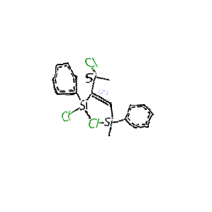 C[Si](C)(Cl)/C(=C/[Si](C)(Cl)c1ccccc1)[Si](C)(Cl)c1ccccc1